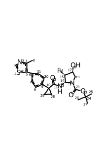 Cc1ncsc1-c1ccc(C2(C(=O)N[C@H]3[C@@H](F)[C@@H](O)CN3C(=O)OC(C)(C)C)CC2)cc1